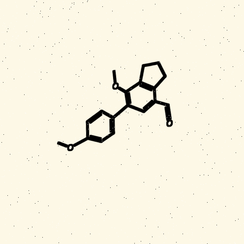 COc1ccc(-c2cc(C=O)c3c(c2OC)CCC3)cc1